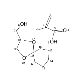 C=C(C)C(=O)O.OCC1COC2(CCCCC2)O1